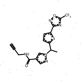 C#CCNC(=O)c1cnn(C(C)c2ccc(-c3noc(C(F)(F)F)n3)s2)c1